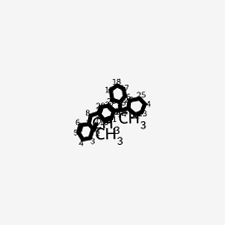 CC1(C)CCC=CC1Cc1ccc(C(C)(C2CCCCC2)C2CCCCC2)cc1